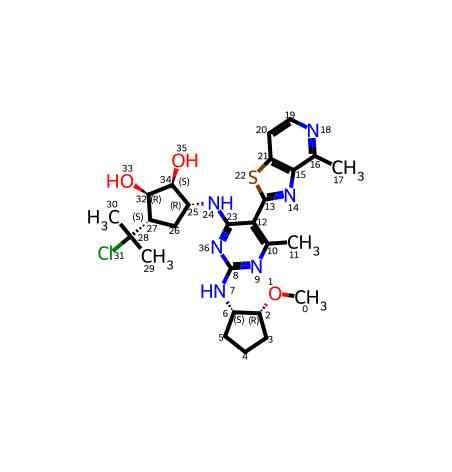 CO[C@@H]1CCC[C@@H]1Nc1nc(C)c(-c2nc3c(C)nccc3s2)c(N[C@@H]2C[C@H](C(C)(C)Cl)[C@@H](O)[C@H]2O)n1